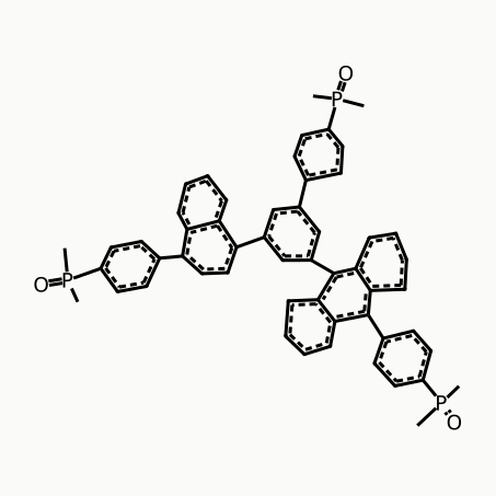 CP(C)(=O)c1ccc(-c2cc(-c3ccc(-c4ccc(P(C)(C)=O)cc4)c4ccccc34)cc(-c3c4ccccc4c(-c4ccc(P(C)(C)=O)cc4)c4ccccc34)c2)cc1